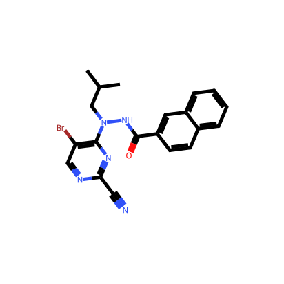 CC(C)CN(NC(=O)c1ccc2ccccc2c1)c1nc(C#N)ncc1Br